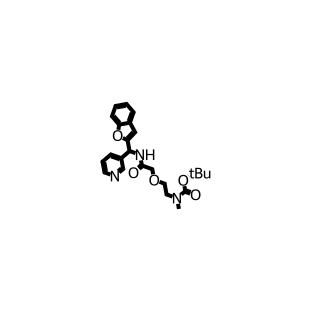 CN(CCOCC(=O)NC(c1cccnc1)c1cc2ccccc2o1)C(=O)OC(C)(C)C